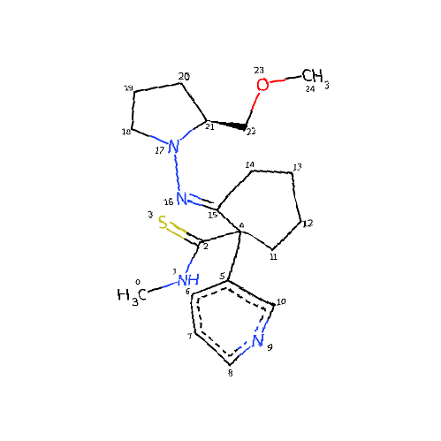 CNC(=S)C1(c2cccnc2)CCCCC1=NN1CCC[C@H]1COC